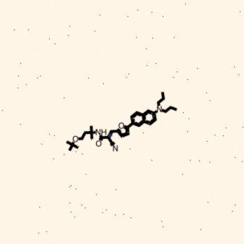 CCCN(CCC)c1ccc2cc(-c3ccc(/C=C(\C#N)C(=O)NC(C)(C)CCOC(C)(C)C)o3)ccc2c1